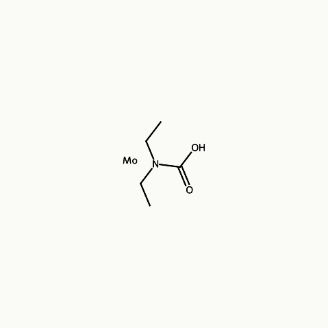 CCN(CC)C(=O)O.[Mo]